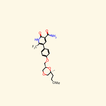 COCC[C@@]1(C)COC[C@@H](COc2ccc(-c3cc(C(N)=O)c(=O)[nH]c3C(F)(F)F)cc2)O1